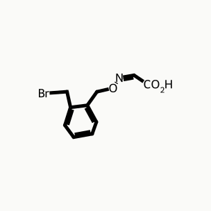 O=C(O)/C=N\OCc1ccccc1CBr